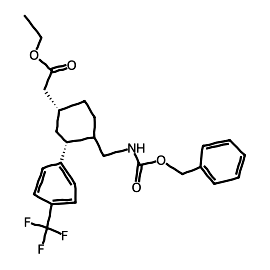 CCOC(=O)C[C@@H]1CCC(CNC(=O)OCc2ccccc2)[C@H](c2ccc(C(F)(F)F)cc2)C1